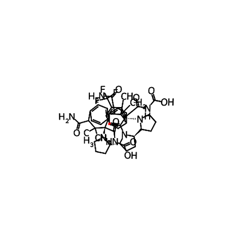 CC1(C)C(C(N)=O)c2ccc(cc2)[C@@]1(C(=O)NC(=O)O)N1CCCC1[C@H]1CC[C@H](C2CCCN2[C@]2(C(=O)NC(=O)O)c3ccc(cc3)C(C(N)=O)C2(C)C)N1c1ccc(C(F)(F)F)cc1